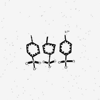 Cc1ccc(S(=O)(=O)[O-])cc1.Cc1ccc(S(=O)(=O)[O-])cc1.Cc1ccc(S(=O)(=O)[O-])cc1.[Ir+3]